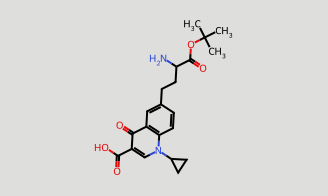 CC(C)(C)OC(=O)C(N)CCc1ccc2c(c1)c(=O)c(C(=O)O)cn2C1CC1